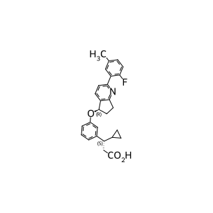 Cc1ccc(F)c(-c2ccc3c(n2)CC[C@H]3Oc2cccc([C@@H](CC(=O)O)C3CC3)c2)c1